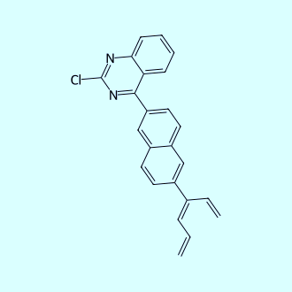 C=C/C=C(\C=C)c1ccc2cc(-c3nc(Cl)nc4ccccc34)ccc2c1